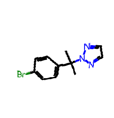 CC(C)(c1ccc(Br)cc1)n1nccn1